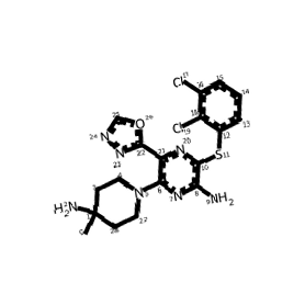 CC1(N)CCN(c2nc(N)c(Sc3cccc(Cl)c3Cl)nc2-c2nnco2)CC1